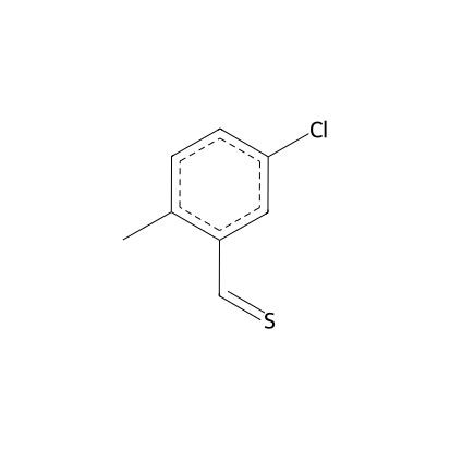 Cc1ccc(Cl)cc1C=S